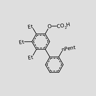 CCCCCc1ccccc1-c1cc(OC(=O)O)c(CC)c(CC)c1CC